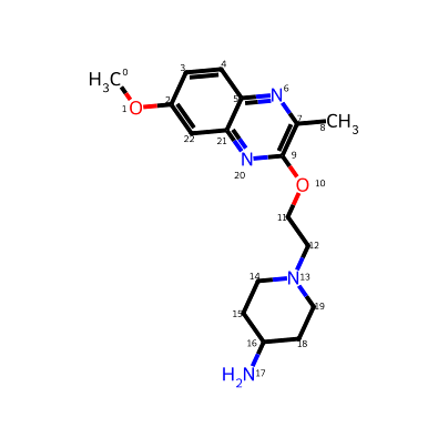 COc1ccc2nc(C)c(OCCN3CCC(N)CC3)nc2c1